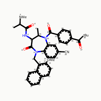 CNC(C)C(=O)NC1C(=O)N(Cc2c(OC)ccc3ccccc23)c2ccc(C#N)cc2N(C(=O)c2ccc(C(=O)C(C)(C)C)cc2)C1C